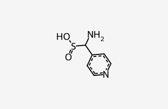 NC(c1ccncc1)S(=O)O